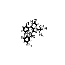 CC(C)(O)c1nc(NC(=O)c2cc(F)cc(C(F)(F)F)c2)c2n1CC(=O)N[C@@H]2c1cc(F)ccc1Cl